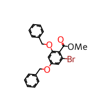 COC(=O)c1c(Br)cc(OCc2ccccc2)cc1OCc1ccccc1